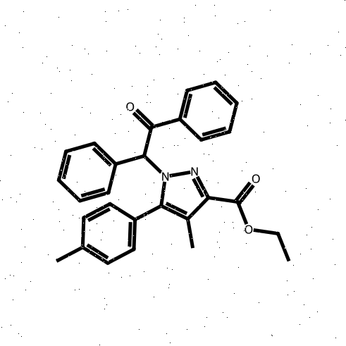 CCOC(=O)c1nn(C(C(=O)c2ccccc2)c2ccccc2)c(-c2ccc(C)cc2)c1C